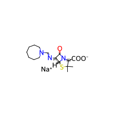 CC1(C)S[C@@H]2[C@H](N=CN3CCCCCCC3)C(=O)N2[C@H]1C(=O)[O-].[Na+]